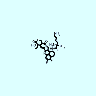 CC[C@@]1(O)C(=O)OCc2c1cc1n(c2=O)Cc2c-1nc1cc(F)c(C)c3c1c2[C@@H](NC(=O)[C@@](N)([SiH3])CCCCN)CC3